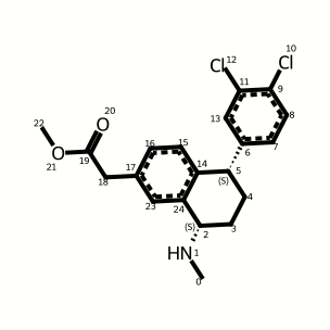 CN[C@H]1CC[C@@H](c2ccc(Cl)c(Cl)c2)c2ccc(CC(=O)OC)cc21